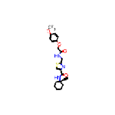 C#CC1(NC(=O)c2csc(CNC(=O)COc3ccc(OC(F)(F)F)cc3)n2)CCCCC1